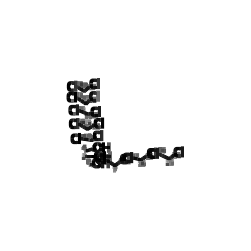 CO.CO.CO.ClCCl.ClCCl.ClCCl.ClCCl.ClCCl.ClCCl.ClCCl.ClCCl